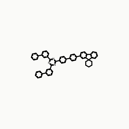 c1ccc(-c2cccc(-c3nc(-c4ccc(-c5ccc(-c6ccc7c(c6)C6(CCCCC6)c6ccccc6-7)cc5)cc4)nc(-c4cccc(-c5ccccc5)c4)n3)c2)cc1